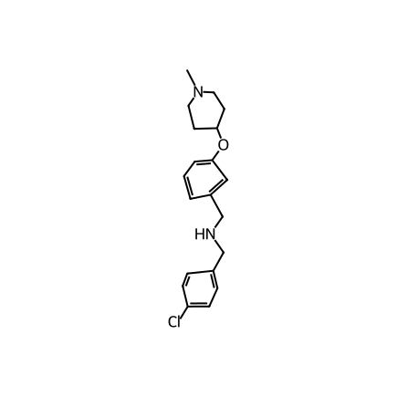 CN1CCC(Oc2cccc(CNCc3ccc(Cl)cc3)c2)CC1